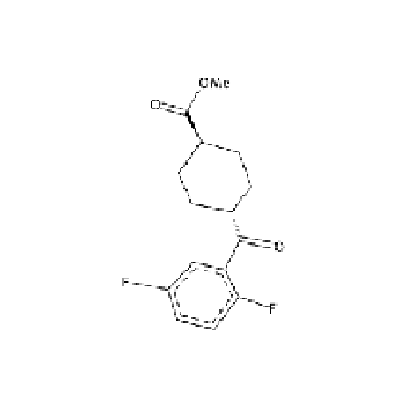 COC(=O)[C@H]1CC[C@H](C(=O)c2cc(F)ccc2F)CC1